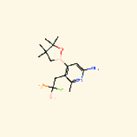 BC(F)(P)Cc1c(B2CC(C)(C)C(C)(C)O2)cc(N)nc1C